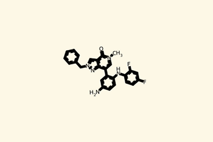 Cn1cc(-c2cc(N)ccc2Nc2ccc(F)cc2F)c2nn(Cc3ccccc3)cc2c1=O